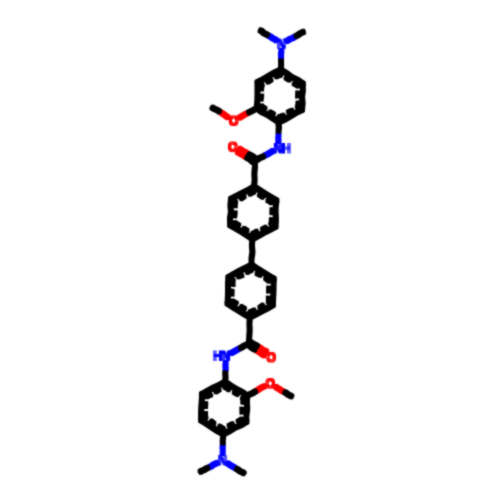 COc1cc(N(C)C)ccc1NC(=O)c1ccc(-c2ccc(C(=O)Nc3ccc(N(C)C)cc3OC)cc2)cc1